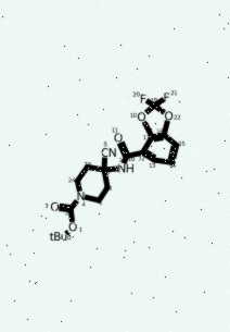 CC(C)(C)OC(=O)N1CCC(C#N)(NC(=O)c2cccc3c2OC(F)(F)O3)CC1